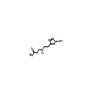 CC(C)C(=O)CCNCCc1cn(C(C)C)nn1